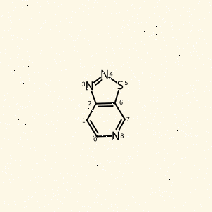 [c]1cc2nnsc2cn1